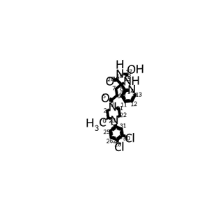 C[C@H]1CN(C(=O)CCC2(c3ccccn3)NC(O)NC2=O)CCN1c1ccc(Cl)c(Cl)c1